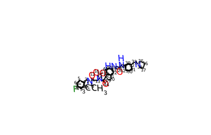 CC(N(Cc1ccc(F)cc1)C(=O)CN1C(=O)O[C@@]2(CCc3cc(NC(=O)Nc4cccc(CN5CCCC5)c4)ccc32)C1=O)C(F)(F)F